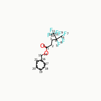 O=C(CCC(F)(C(F)(F)F)C(F)(F)F)OCc1ccccc1